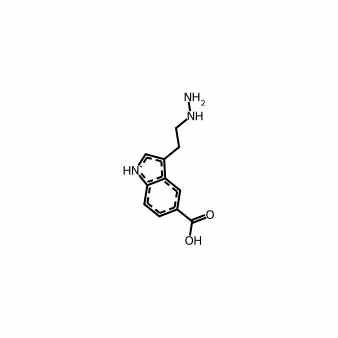 NNCCc1c[nH]c2ccc(C(=O)O)cc12